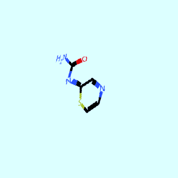 NC(=O)N=c1cnccs1